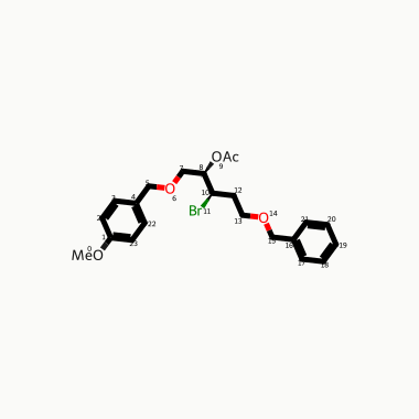 COc1ccc(COC[C@@H](OC(C)=O)[C@H](Br)CCOCc2ccccc2)cc1